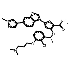 C[C@@H](Oc1cc(-n2cnc3cc(-c4cnn(C)c4)ccc32)sc1C(N)=O)c1cccc(OCCCN(C)C)c1Cl